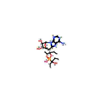 CCC(CC)(OP(=O)(O)C(O)(CC)CC)[C@H]1c2nc3c(N)ncnc3n2C2OC1[C@@H](O)[C@H]2O